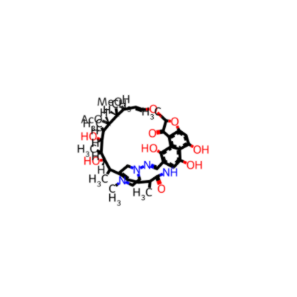 CO[C@H]1/C=C/O[C@@]2(C)Oc3cc(O)c4c(O)c(c(/C=N/N5CCN(C)CC5)c(O)c4c3C2=O)NC(=O)C(C)C/C=C/C(C)[C@H](O)[C@@H](C)[C@@H](O)[C@@H](C)[C@H](OC(C)=O)[C@@H]1C